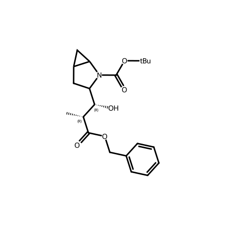 C[C@@H](C(=O)OCc1ccccc1)[C@@H](O)C1CC2CC2N1C(=O)OC(C)(C)C